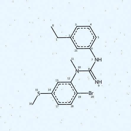 CCc1cccc(NC(=N)N(C)c2cc(SC)ccc2Br)c1